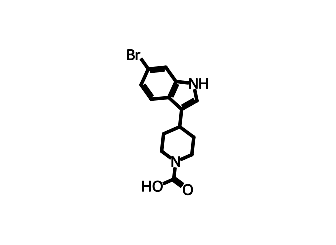 O=C(O)N1CCC(c2c[nH]c3cc(Br)ccc23)CC1